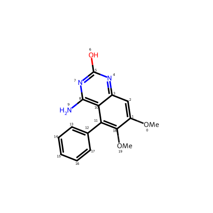 COc1cc2nc(O)nc(N)c2c(-c2ccccc2)c1OC